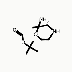 CC(C)(C)OC=O.CC1(N)CNCCO1